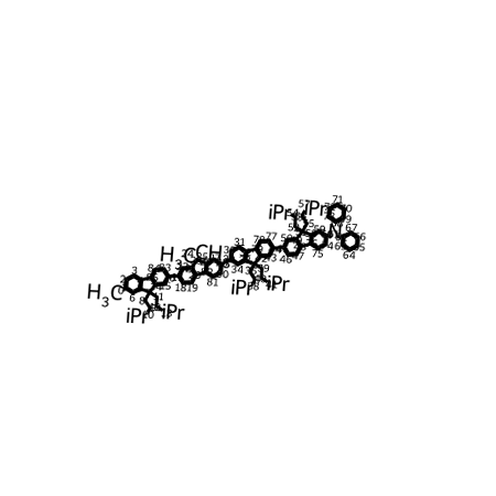 Cc1ccc2c(c1)C(CCC(C)C)(CCC(C)C)c1cc(-c3ccc4c(c3)C(C)(C)c3cc(-c5ccc6c(c5)C(CCC(C)C)(CCC(C)C)c5cc(-c7ccc8c(c7)C(CCC(C)C)(CCC(C)C)c7cc(N(c9ccccc9)c9ccccc9)ccc7-8)ccc5-6)ccc3-4)ccc1-2